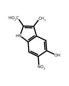 Cc1c(C(=O)O)[nH]c2cc([N+](=O)[O-])c(O)cc12